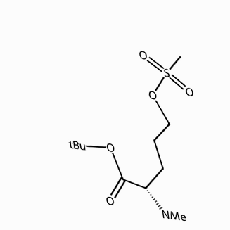 CN[C@@H](CCCOS(C)(=O)=O)C(=O)OC(C)(C)C